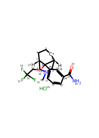 CN1C[C@H]2CCC[C@@H](C1)C2(OCC(F)(F)F)c1cccc(C(N)=O)c1.Cl